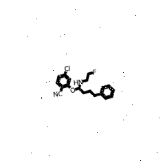 N#Cc1ccc(Cl)cc1OC(CCCc1ccccc1)NCCF